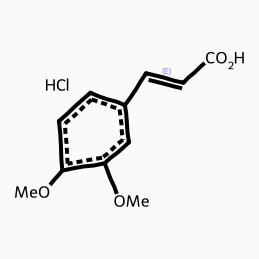 COc1ccc(/C=C/C(=O)O)cc1OC.Cl